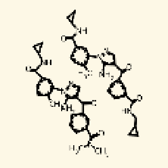 Cc1ccc(C(=O)NC2CC2)cc1-n1ncc(C(=O)c2cccc(C(=O)N(C)C)c2)c1N.Cc1ccc(C(=O)NC2CC2)cc1-n1ncc(C(=O)c2cccc(C(=O)NCC3CC3)c2)c1N